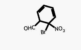 O=CC1C=CC=CC1(Br)[N+](=O)[O-]